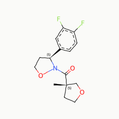 C[C@]1(C(=O)N2OCC[C@H]2c2ccc(F)c(F)c2)CCOC1